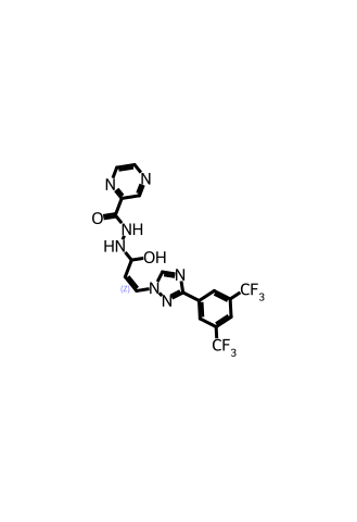 O=C(NNC(O)/C=C\n1cnc(-c2cc(C(F)(F)F)cc(C(F)(F)F)c2)n1)c1cnccn1